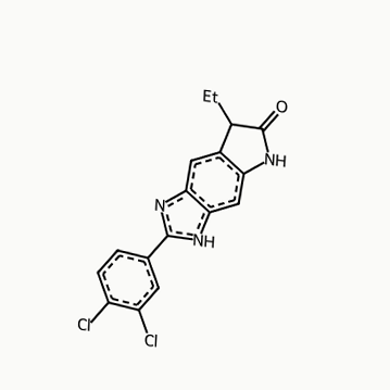 CCC1C(=O)Nc2cc3[nH]c(-c4ccc(Cl)c(Cl)c4)nc3cc21